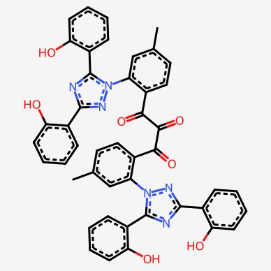 Cc1ccc(C(=O)C(=O)C(=O)c2ccc(C)cc2-n2nc(-c3ccccc3O)nc2-c2ccccc2O)c(-n2nc(-c3ccccc3O)nc2-c2ccccc2O)c1